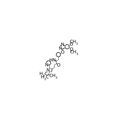 COc1cc2ncnc(Oc3cccc(CC(=N)C(=O)CCC4=CC(C(C)(C)C)=NC4c4ccccn4)c3)c2cc1OC